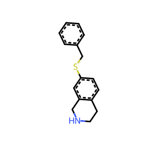 c1ccc(CSc2ccc3c(c2)CNCC3)cc1